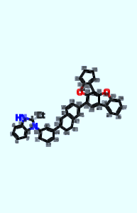 CC[C@H]1Nc2ccccc2N1c1cccc(C2=Cc3ccc(-c4cc5c6ccccc6oc5c5c4oc4ccccc45)cc3CC2)c1